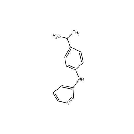 CC(C)c1ccc(Nc2cccnc2)cc1